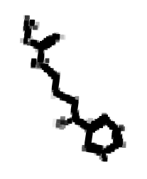 CC(C)(C)OC(=O)NCCC[C@@H](O)c1cccnc1